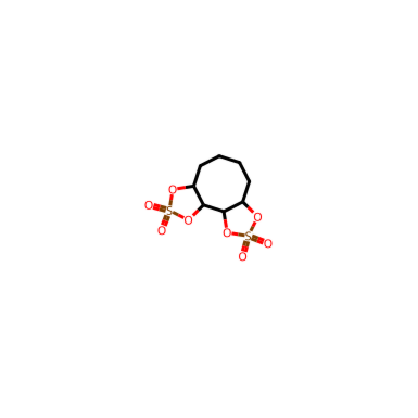 O=S1(=O)OC2CCCCC3OS(=O)(=O)OC3C2O1